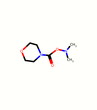 CN(C)OC(=O)N1CCOCC1